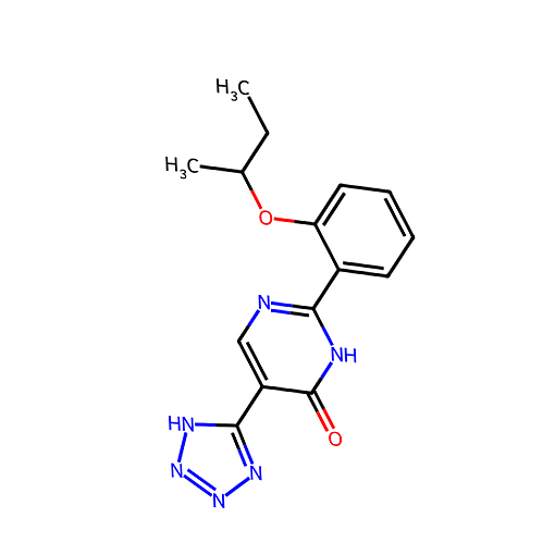 CCC(C)Oc1ccccc1-c1ncc(-c2nnn[nH]2)c(=O)[nH]1